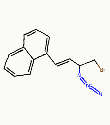 [N-]=[N+]=NC(/C=C/c1cccc2ccccc12)CBr